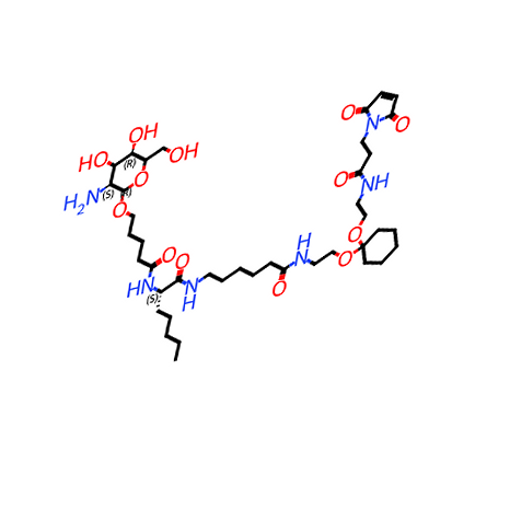 CCCCC[C@H](NC(=O)CCCCO[C@@H]1OC(CO)[C@H](O)C(O)[C@@H]1N)C(=O)NCCCCCC(=O)NCCOC1(OCCNC(=O)CCN2C(=O)C=CC2=O)CCCCC1